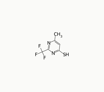 Cc1cc(S)nc(C(F)(F)F)n1